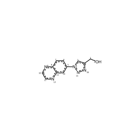 OCc1cn(-c2ccc3nccnc3c2)nn1